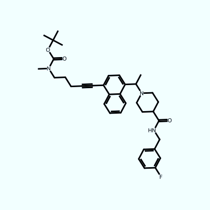 CC(c1ccc(C#CCCCN(C)C(=O)OC(C)(C)C)c2ccccc12)N1CCC(C(=O)NCc2cccc(F)c2)CC1